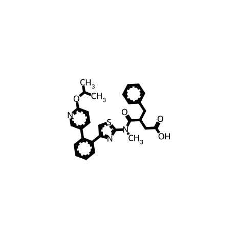 CC(C)Oc1ccc(-c2ccccc2-c2csc(N(C)C(=O)C(CC(=O)O)Cc3ccccc3)n2)cn1